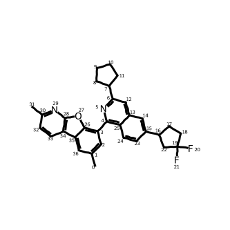 Cc1cc(-c2nc(C3CCCC3)cc3cc(C4CCC(F)(F)C4)ccc23)c2oc3nc(C)ccc3c2c1